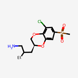 CCC(CN)C[C@H]1COc2c(Cl)cc(S(C)(=O)=O)cc2O1